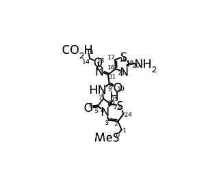 CSCC1=CN2C(=O)C(NC(=O)C(=NOCC(=O)O)c3csc(N)n3)[C@@H]2SC1